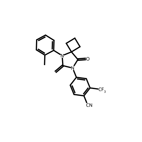 C=C1N(c2ccc(C#N)c(C(F)(F)F)c2)C(=O)C2(CCC2)N1c1ccccc1C